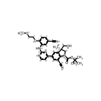 COCCOc1ccc(C#N)cc1Nc1nccc(-c2cc(C#N)c3c(c2)[C@@](C)(CO)CN3C(=O)OC(C)(C)C)n1